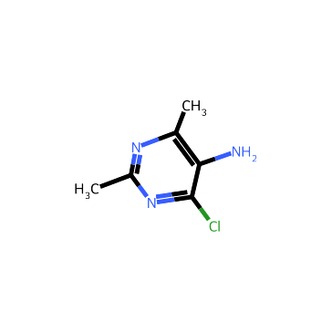 Cc1nc(C)c(N)c(Cl)n1